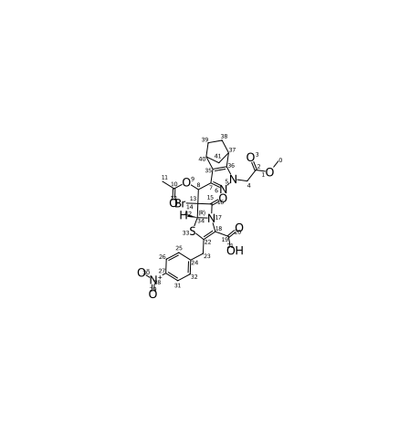 COC(=O)Cn1nc(C(OC(C)=O)C2(Br)C(=O)N3C(C(=O)O)=C(Cc4ccc([N+](=O)[O-])cc4)S[C@@H]32)c2c1C1CCC2C1